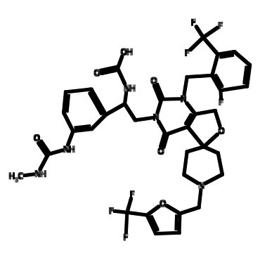 CNC(=O)Nc1cccc(C(Cn2c(=O)c3c(n(Cc4c(F)cccc4C(F)(F)F)c2=O)COC32CCN(Cc3ccc(C(F)(F)F)o3)CC2)NC(=O)O)c1